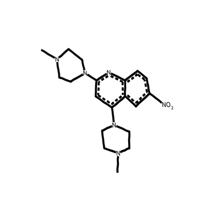 CN1CCN(c2cc(N3CCN(C)CC3)c3cc([N+](=O)[O-])ccc3n2)CC1